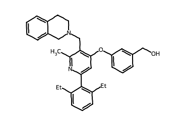 CCc1cccc(CC)c1-c1cc(Oc2cccc(CO)c2)c(CN2CCc3ccccc3C2)c(C)n1